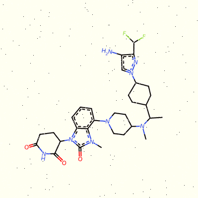 CC(C1CCC(n2cc(N)c(C(F)F)n2)CC1)N(C)C1CCN(c2cccc3c2n(C)c(=O)n3C2CCC(=O)NC2=O)CC1